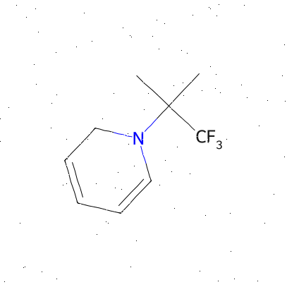 CC(C)(N1C=CC=CC1)C(F)(F)F